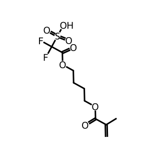 C=C(C)C(=O)OCCCCOC(=O)C(F)(F)S(=O)(=O)O